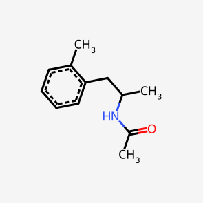 CC(=O)NC(C)Cc1ccccc1C